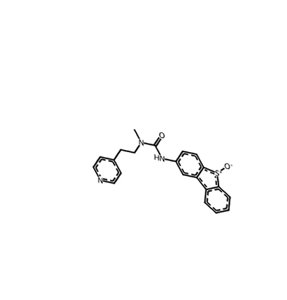 CN(CCc1ccncc1)C(=O)Nc1ccc2c(c1)c1ccccc1[s+]2[O-]